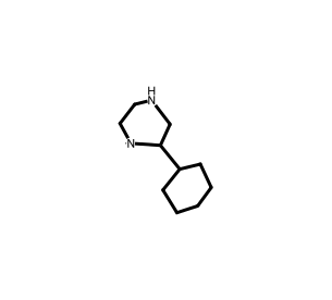 C1CCC(C2CNCC[N]2)CC1